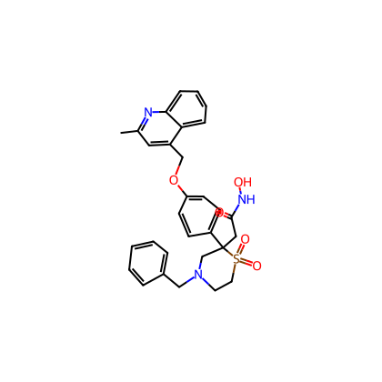 Cc1cc(COc2ccc(C3(CC(=O)NO)CN(Cc4ccccc4)CCS3(=O)=O)cc2)c2ccccc2n1